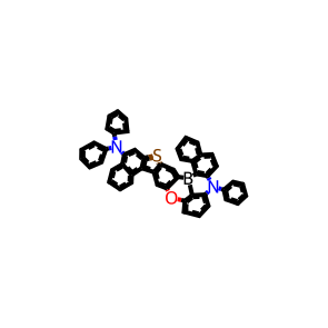 c1ccc(N2c3cccc4c3B(c3cc5sc6cc(N(c7ccccc7)c7ccccc7)c7ccccc7c6c5cc3O4)c3c2ccc2ccccc32)cc1